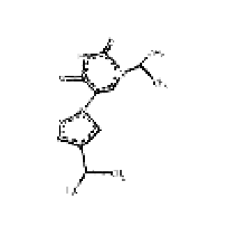 CC(C)c1cn(-c2cn(C(C)C)c(=O)[nH]c2=O)nn1